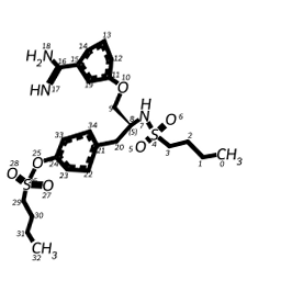 CCCCS(=O)(=O)N[C@H](COc1cccc(C(=N)N)c1)Cc1ccc(OS(=O)(=O)CCCC)cc1